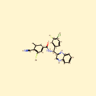 CC1CC(C(=O)N[C@@H](c2ccc(Cl)c(F)c2)c2cnc3ccccc3n2)=CC(F)=C1C#N